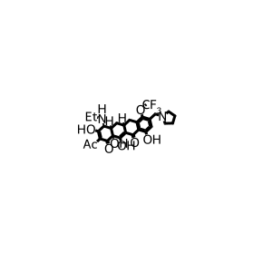 CCN[C@@H]1C(O)=C(C(C)=O)C(=O)[C@@]2(O)C(O)=C3C(=O)c4c(O)cc(CN5CCCC5)c(OC(F)(F)F)c4C[C@H]3C[C@@H]12